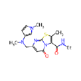 CCNC(=O)c1c(C)sc2nc(CN(C)c3ccn(C)c3)cc(=O)n12